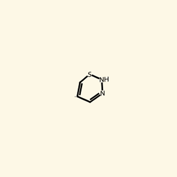 [C]1=CSNN=C1